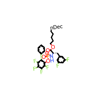 CCCCCCCCCCCCCCCOC(=O)[C@H](Cc1cc(F)cc(F)c1)N[P@](=O)(Oc1ccccc1)Oc1c(F)c(F)c(F)c(F)c1F